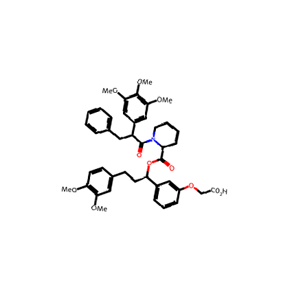 COc1ccc(CC[C@@H](OC(=O)C2CCCCN2C(=O)C(Cc2ccccc2)c2cc(OC)c(OC)c(OC)c2)c2cccc(OCC(=O)O)c2)cc1OC